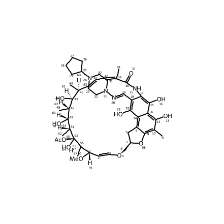 CO[C@H]1/C=C/O[C@]2(C)Cc3c(c(C)c(O)c4c(O)c(c(/C=N/N5CCN(C6CCCC6)CC5)c(O)c34)NC(=O)/C(C)=C\C=C\[C@H](C)[C@H](O)[C@@H](C)[C@@H](O)[C@@H](C)[C@](O)(OC(C)=O)[C@@H]1C)O2